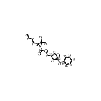 C=CC=C[C@@H]1[C@@H](C(=O)OCc2coc(Cc3ccccc3)c2)C1(C)C